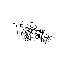 CC(C)=CCC[C@@]1(C)C=Cc2c(O)c3c(c(CC(O)C(C)(C)O)c2O1)O[C@@H]1C(=C[C@@H]2CC1C(C)(C)O[C@@H](C/C=C(/C)C(=O)O)C2=O)C3=O